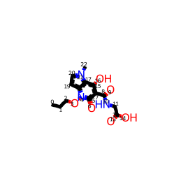 CCCOn1c(=O)c(C(=O)NCC(=O)O)c(O)c2c1ccn2C